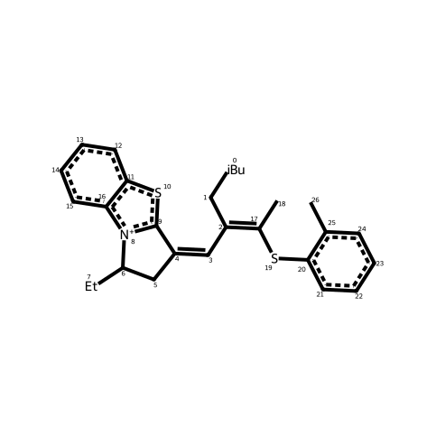 CCC(C)CC(/C=C1/CC(CC)[n+]2c1sc1ccccc12)=C(\C)Sc1ccccc1C